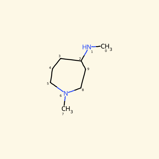 CNC1CCCN(C)CC1